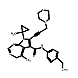 COCc1ccc(NC(=O)c2c(C#CCN3CCOCC3)n(C3(C)CC3)c3c2=C(N)CN=CN=3)cc1